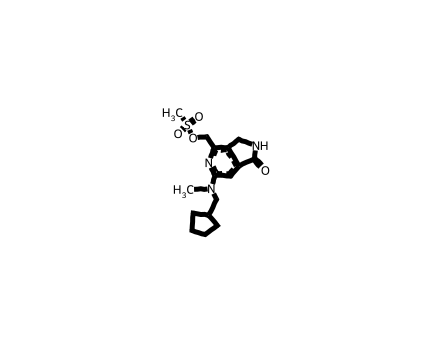 CN(CC1CCCC1)c1cc2c(c(COS(C)(=O)=O)n1)CNC2=O